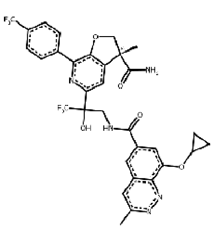 Cc1cc2cc(C(=O)NCC(O)(c3cc4c(c(-c5ccc(C(F)(F)F)cc5)n3)OC[C@]4(C)C(N)=O)C(F)(F)F)cc(OC3CC3)c2nn1